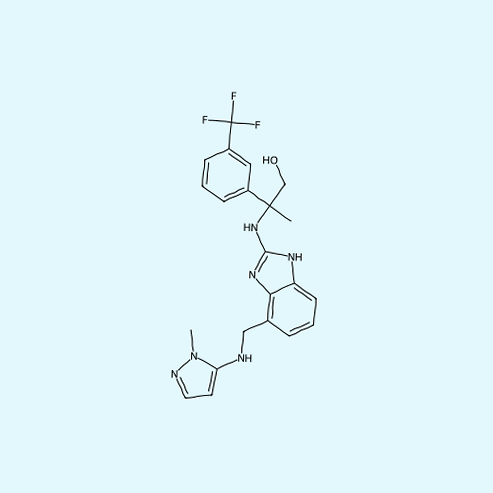 Cn1nccc1NCc1cccc2[nH]c(NC(C)(CO)c3cccc(C(F)(F)F)c3)nc12